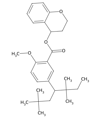 CCC(C)(C)C(CC(C)(C)C)c1ccc(OC)c(C(=O)OC2CCOc3ccccc32)c1